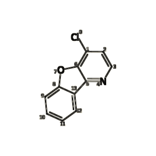 Clc1ccnc2c1oc1ccccc12